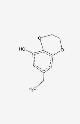 CCc1cc(O)c2c(c1)OCCO2